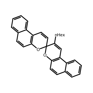 CCCCCCC1=Cc2c(ccc3ccccc23)OC12C=Cc1c(ccc3ccccc13)O2